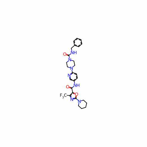 O=C(Nc1ccc(N2CCN(C(=O)NCc3ccccc3)CC2)nc1)c1oc(N2CCCCC2)nc1C(F)(F)F